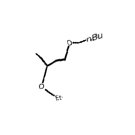 C[CH]OC(C)COCCCC